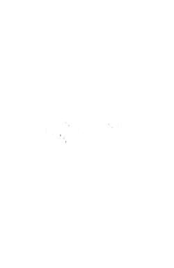 C[Si](C)(C)C(N)CCCCCN